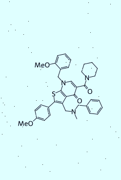 COc1ccc(-c2sc3c(c2CN(C)Cc2ccccc2)c(=O)c(C(=O)N2CCCCC2)cn3Cc2ccccc2OC)cc1